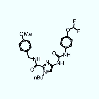 CCCCn1cc(NC(=O)Nc2ccc(OC(F)F)cc2)nc1C(=O)NCc1ccc(OC)cc1